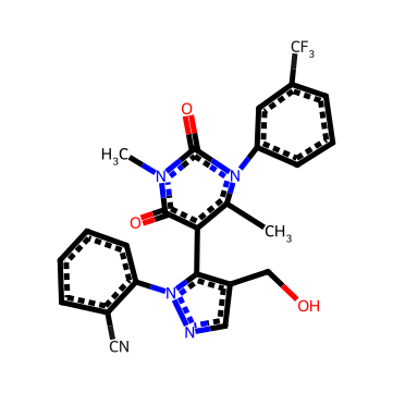 Cc1c(-c2c(CO)cnn2-c2ccccc2C#N)c(=O)n(C)c(=O)n1-c1cccc(C(F)(F)F)c1